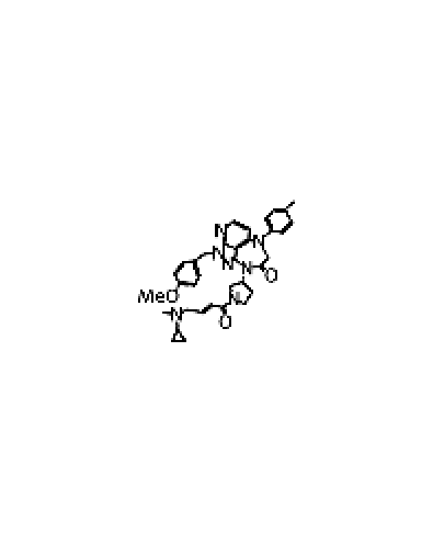 COc1ccc(Cn2nc3c4c(ccnc42)N(c2ccc(C)cc2)CC(=O)N3[C@@H]2CCN(C(=O)/C=C/CN(C)C3CC3)C2)cc1